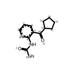 CCCC(=O)Nc1ncccc1C(=O)C1CCCC1